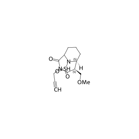 C#CCN1C[C@H](COC)[C@@H]2CCCC(C1=O)N2[SH](=O)=O